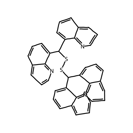 c1cnc2c(C(SSC(c3cccc4cccnc34)c3cccc4cccnc34)c3cccc4cccnc34)cccc2c1